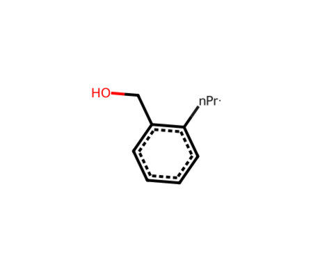 CC[CH]c1ccccc1CO